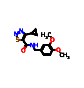 COc1ccc(CNC(=O)c2snnc2C2CC2)cc1OC